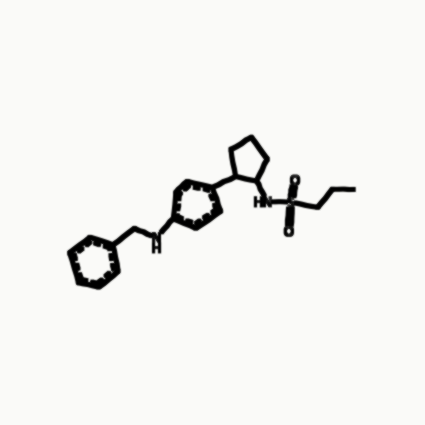 CCCS(=O)(=O)NC1CCCC1c1ccc(NCc2ccccc2)cc1